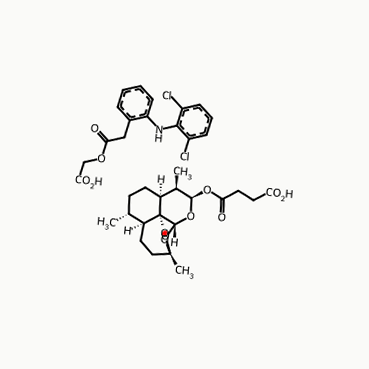 C[C@H]1[C@@H](OC(=O)CCC(=O)O)O[C@@H]2O[C@@]3(C)CC[C@H]4[C@H](C)CC[C@@H]1[C@@]24OO3.O=C(O)COC(=O)Cc1ccccc1Nc1c(Cl)cccc1Cl